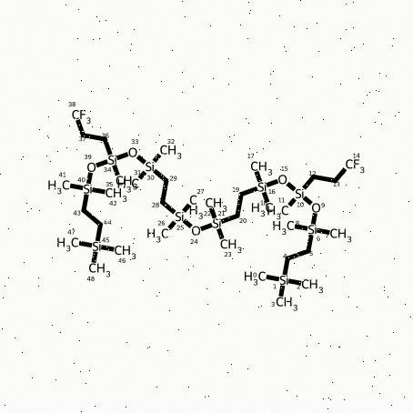 C[Si](C)(C)CC[Si](C)(C)O[Si](C)(CCC(F)(F)F)O[Si](C)(C)CC[Si](C)(C)O[Si](C)(C)CC[Si](C)(C)O[Si](C)(CCC(F)(F)F)O[Si](C)(C)CC[Si](C)(C)C